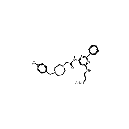 CC(=O)NCCNc1cc(NC(=O)CN2CCCN(Cc3ccc(C(F)(F)F)cc3)CC2)nc(-c2ccccc2)n1